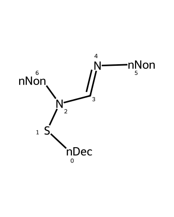 CCCCCCCCCCSN(C=NCCCCCCCCC)CCCCCCCCC